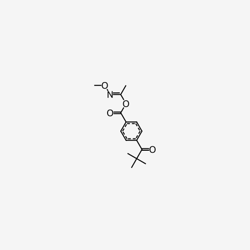 CON=C(C)OC(=O)c1ccc(C(=O)C(C)(C)C)cc1